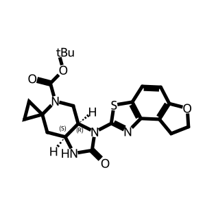 CC(C)(C)OC(=O)N1C[C@@H]2[C@H](CC13CC3)NC(=O)N2c1nc2c3c(ccc2s1)OCC3